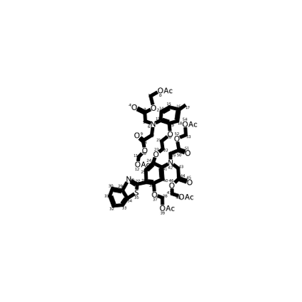 CC(=O)OCOC(=O)CN(CC(=O)OCOC(C)=O)c1ccc(C)cc1OCCOc1cc(-c2nc3ccccc3s2)c(OCOC(C)=O)cc1N(CC(=O)OCOC(C)=O)CC(=O)OCOC(C)=O